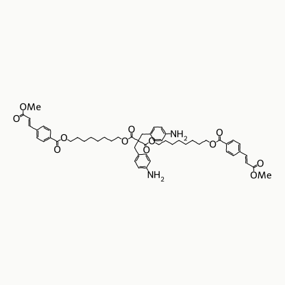 COC(=O)C=Cc1ccc(C(=O)OCCCCCCCCOC(=O)C(Cc2ccc(N)cc2)(Cc2ccc(N)cc2)C(=O)OCCCCCCCCOC(=O)c2ccc(C=CC(=O)OC)cc2)cc1